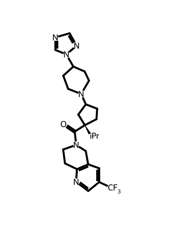 CC(C)[C@]1(C(=O)N2CCc3ncc(C(F)(F)F)cc3C2)CCC(N2CCC(n3cncn3)CC2)C1